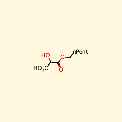 CCCCCCOC(=O)C(O)C(=O)O